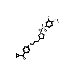 Cc1ccc(S(=O)(=O)NN2CC[C@@H](CCCOc3ccc(C(=O)C4CC4)cc3)C2)cc1Cl